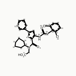 O=C(O)CN(C(=O)c1sc(-c2cccnc2)cc1NC(=O)Nc1c(Cl)cccc1Cl)C1CCCCC1